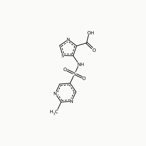 Cc1ncc(S(=O)(=O)Nc2scnc2C(=O)O)cn1